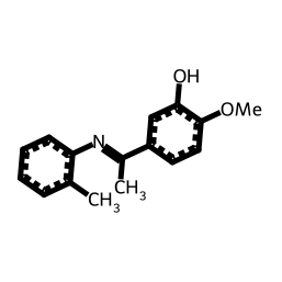 COc1ccc(/C(C)=N/c2ccccc2C)cc1O